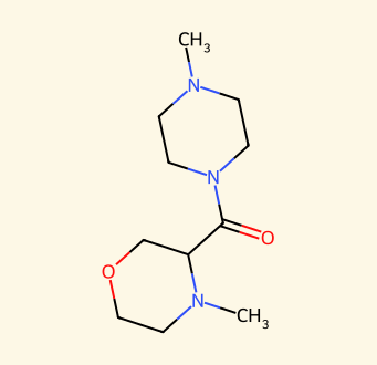 CN1CCN(C(=O)C2COCCN2C)CC1